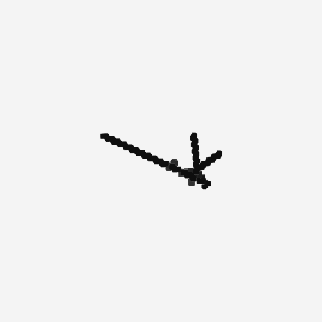 CCCCCCCCCCCCCCCCCCCCCCOC(=O)CCSCCC(NC(=O)C(CCCCCCCC)CCCCCCCCCC)C(=O)NCCN(C)C